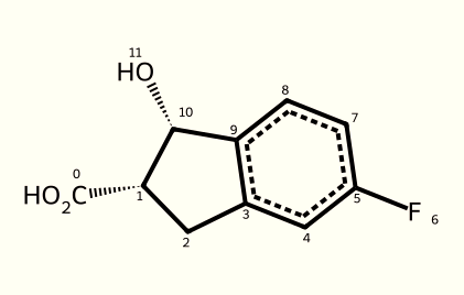 O=C(O)[C@H]1Cc2cc(F)ccc2[C@H]1O